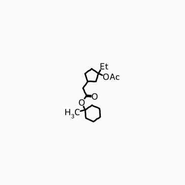 CCC1(OC(C)=O)CCC(CC(=O)OC2(C)CCCCC2)C1